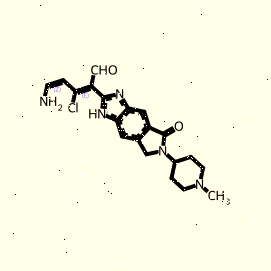 CN1CCC(N2Cc3cc4[nH]c(/C(C=O)=C(Cl)/C=C\N)nc4cc3C2=O)CC1